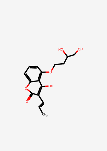 CC=Cc1c(O)c2c(OCCC(O)CO)cccc2oc1=O